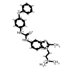 Cc1nc2cc(NC(=O)Nc3ccc(Oc4ccccc4)cc3)ccc2n1CCN(C)C